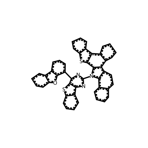 c1ccc2c(c1)ccc1c3c4ccccc4c4c5ccccc5sc4c3n(-c3nc(-c4cccc5c4oc4ccccc45)c4sc5ccccc5c4n3)c21